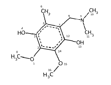 COc1c(O)c(C)c(CN(C)C)c(O)c1OC